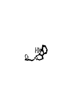 c1ccc2c3c([nH]c2c1)CN(CC1CO1)CC3